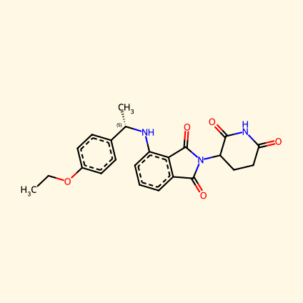 CCOc1ccc([C@H](C)Nc2cccc3c2C(=O)N(C2CCC(=O)NC2=O)C3=O)cc1